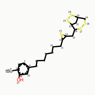 CC(C)(C)c1ccc(CCCCCCCC2SC2CC2SSCC3CC2SS3)cc1O